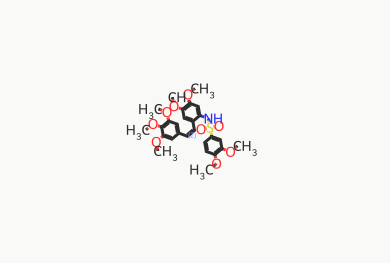 COc1ccc(S(=O)(=O)Nc2cc(OC)c(OC)cc2/C=C\c2cc(OC)c(OC)c(OC)c2)cc1OC